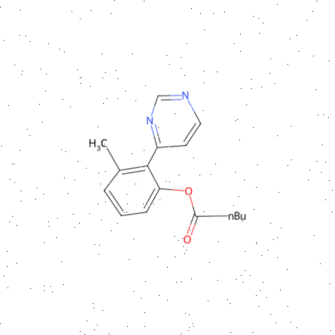 CCCCC(=O)Oc1cccc(C)c1-c1ccncn1